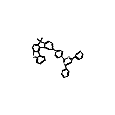 CC1(C)c2ccc(-c3ccc(-c4nc(-c5ccccc5)cc(-c5ccccc5)n4)cc3)cc2-c2c1ccc1oc3ccccc3c21